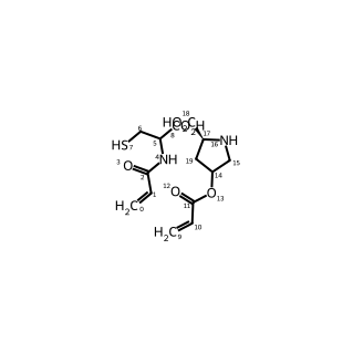 C=CC(=O)NC(CS)C(=O)O.C=CC(=O)OC1CN[C@H](C(=O)O)C1